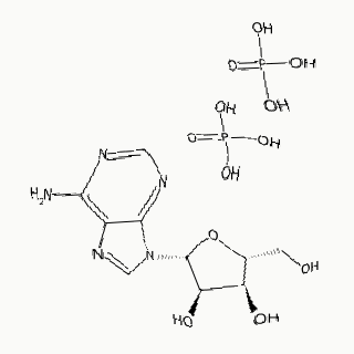 Nc1ncnc2c1ncn2[C@@H]1O[C@H](CO)[C@@H](O)[C@H]1O.O=P(O)(O)O.O=P(O)(O)O